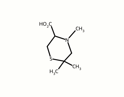 CN1CC(C)(C)SCC1C(=O)O